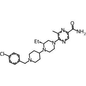 CC[C@H]1CN(c2ncc(C(N)=O)nc2C)CCN1C1CCN(Cc2ccc(Cl)cc2)CC1